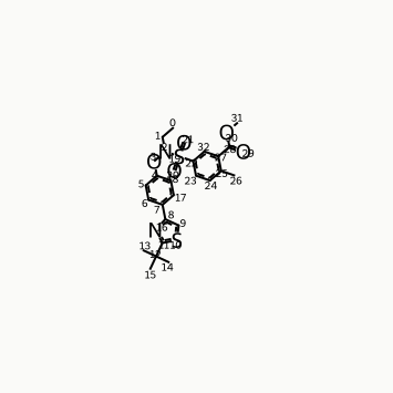 CCN(Oc1ccc(-c2csc(C(C)(C)C)n2)cc1)S(=O)(=O)c1ccc(C)c(C(=O)OC)c1